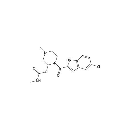 CNC(=O)OC1CN(C)CCN1C(=O)c1cc2cc(Cl)ccc2[nH]1